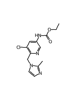 CCOC(=O)Nc1cnc(Cn2ccnc2C)c(Cl)c1